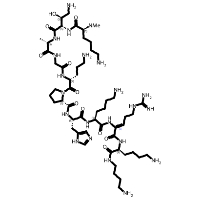 CN[C@@H](CCCCN)C(=O)N[C@H](C(=O)N[C@@H](C)C(=O)NCC(=O)N[C@H](CCCN)C(=O)N1CCC[C@H]1C(=O)N[C@@H](Cc1cnc[nH]1)C(=O)N[C@@H](CCCCN)C(=O)N/C(=C\CCNC(=N)N)C(=O)N[C@@H](CCCCN)C(=O)NCCCCN)[C@@H](O)CN